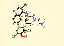 CC(=O)c1cnc2ccc(-c3cc(Cl)c(O)c(Cl)c3)cc2c1NC1CCCN(CCN(C)C)C1